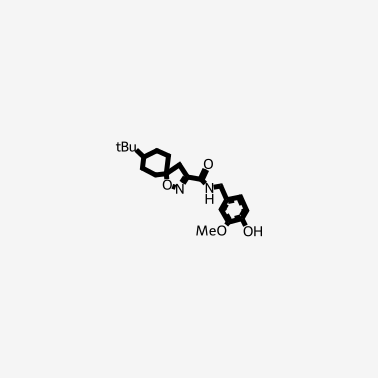 COc1cc(CNC(=O)C2=NOC3(CCC(C(C)(C)C)CC3)C2)ccc1O